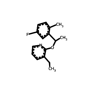 CCc1cccnc1OC(C)c1cc(F)ccc1C